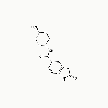 N[C@H]1CC[C@H](NC(=O)c2ccc3c(c2)CC(=O)N3)CC1